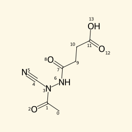 CC(=O)N(C#N)NC(=O)CCC(=O)O